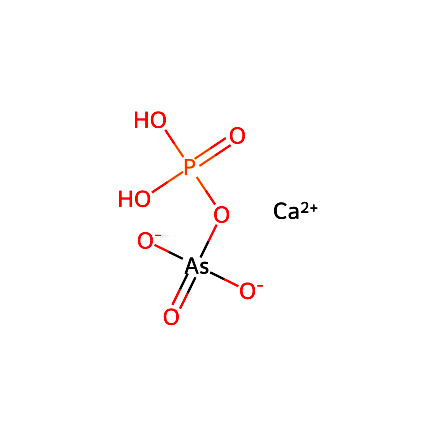 O=P(O)(O)O[As](=O)([O-])[O-].[Ca+2]